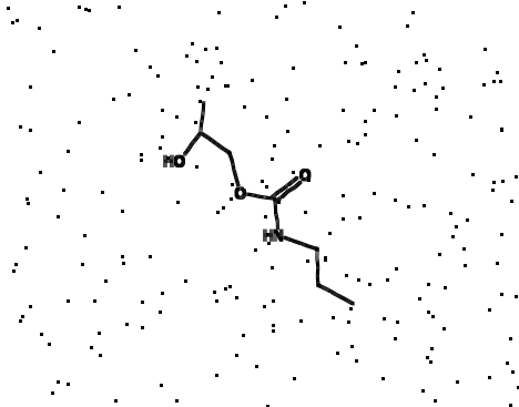 CCCNC(=O)OCC(C)O